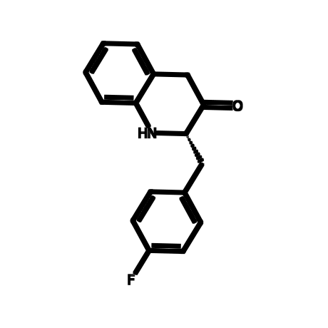 O=C1Cc2ccccc2N[C@H]1Cc1ccc(F)cc1